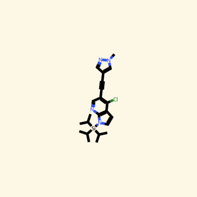 CC(C)[Si](C(C)C)(C(C)C)n1ccc2c(Cl)c(C#Cc3cnn(C)c3)cnc21